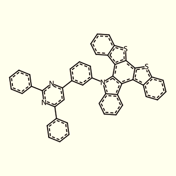 c1ccc(-c2cc(-c3cccc(-n4c5ccccc5c5c6c7ccccc7sc6c6sc7ccccc7c6c54)c3)nc(-c3ccccc3)n2)cc1